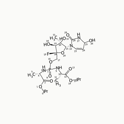 CC(C)OC(=O)[C@H](C)NP(=O)(N[C@@H](C)C(=O)OC(C)C)OC[C@@]1(F)O[C@@H](N2C=CC(O)NC2=O)[C@](C)(O)[C@@H]1O